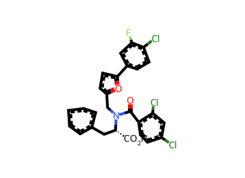 O=C(O)[C@H](Cc1ccccc1)N(Cc1ccc(-c2ccc(Cl)c(F)c2)o1)C(=O)c1ccc(Cl)cc1Cl